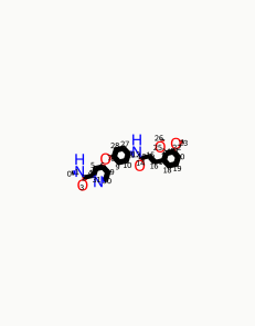 CNC(=O)c1cc(Oc2ccc(NC(=O)C=Cc3cccc(OC)c3OC)cc2)ccn1